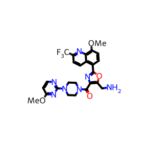 COc1ccnc(N2CCN(C(=O)c3nc(-c4ccc(OC)c5nc(C(F)(F)F)ccc45)oc3CN)CC2)n1